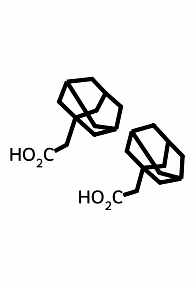 O=C(O)CC12CC3CC(CC(C3)C1)C2.O=C(O)CC12CC3CC(CC(C3)C1)C2